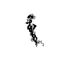 CCc1nc(N2CCOC2=O)ccc1-c1ccc2cc(-c3nc4cc5c(cc4n3C)CCN(C[C@H](N)CF)C5=O)n(CC3CC3)c2n1